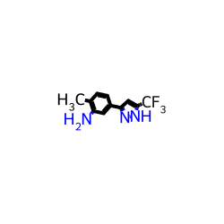 Cc1ccc(-c2cc(C(F)(F)F)[nH]n2)cc1N